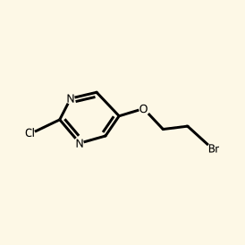 Clc1ncc(OCCBr)cn1